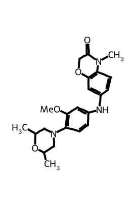 COc1cc(Nc2ccc3c(c2)OCC(=O)N3C)ccc1N1CC(C)OC(C)C1